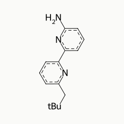 CC(C)(C)Cc1cccc(-c2cccc(N)n2)n1